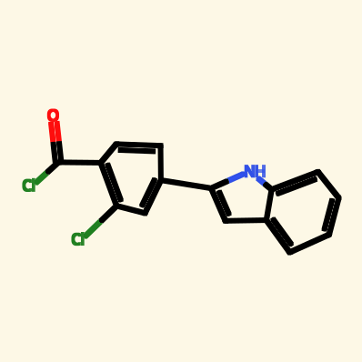 O=C(Cl)c1ccc(-c2cc3ccccc3[nH]2)cc1Cl